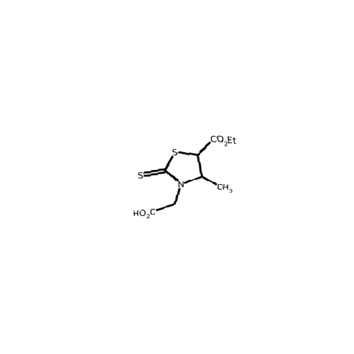 CCOC(=O)C1SC(=S)N(CC(=O)O)C1C